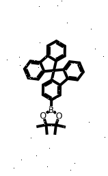 CC1(C)OB(c2ccc3c(c2)-c2ccccc2C32c3ccccc3-c3ccccc32)OC1(C)C